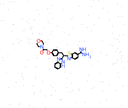 N=C(N)c1ccc2nc(C(Cc3ccc(OCC(=O)N4CCOCC4)cc3)c3nc4ccccc4[nH]3)sc2c1